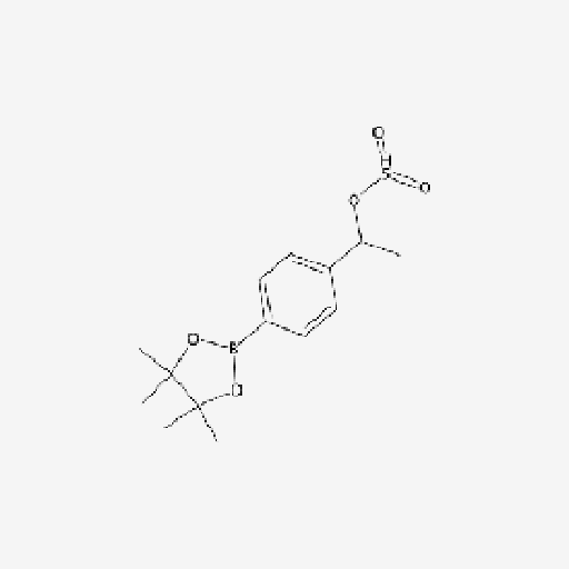 CC(O[SH](=O)=O)c1ccc(B2OC(C)(C)C(C)(C)O2)cc1